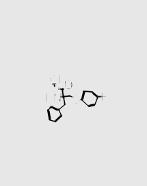 COC(=O)C(N)(CSc1ccc(F)cc1)Cc1ccccc1